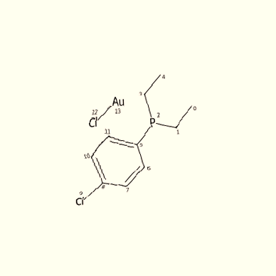 CCP(CC)c1ccc(Cl)cc1.[Cl][Au]